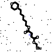 CC(C)(C)COC(=O)/C=C/C(=O)OCCCCCCN1CCOCC1